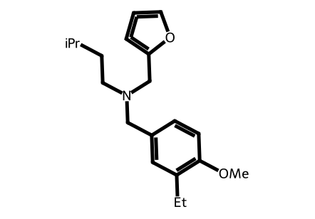 CCc1cc(CN(CCC(C)C)CC2=C=C=CO2)ccc1OC